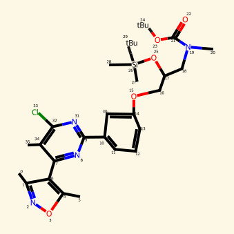 Cc1noc(C)c1-c1nc(-c2cccc(OCC(CN(C)C(=O)OC(C)(C)C)O[Si](C)(C)C(C)(C)C)c2)nc(Cl)c1C